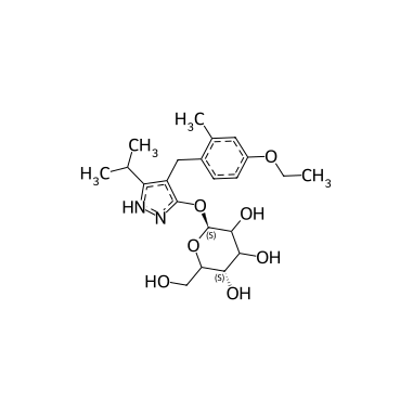 CCOc1ccc(Cc2c(O[C@@H]3OC(CO)[C@@H](O)C(O)C3O)n[nH]c2C(C)C)c(C)c1